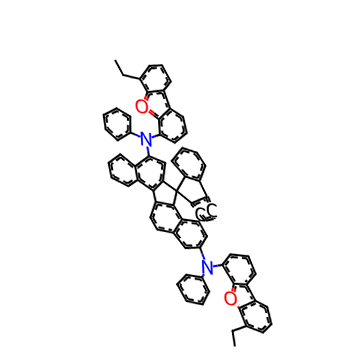 CCc1cccc2c1oc1c(N(c3ccccc3)c3ccc4c5c(ccc4c3)-c3c(cc(N(c4ccccc4)c4cccc6c4oc4c(CC)cccc46)c4ccccc34)C53c4ccccc4-c4ccccc43)cccc12